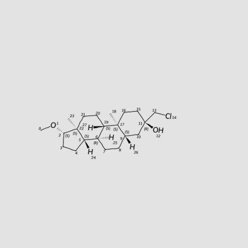 CO[C@H]1CC[C@H]2[C@@H]3CC[C@H]4C[C@@](O)(CCl)CC[C@]4(C)[C@H]3CC[C@]12C